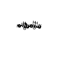 CCNc1nc(-c2ccc(NC(=O)NCc3cccnc3)cc2)ccc1C(=O)NCCc1ccncc1